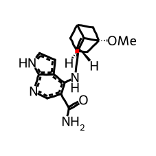 CO[C@]12CC3C[C@H](C1)[C@@H](Nc1c(C(N)=O)cnc4[nH]ccc14)C=C32